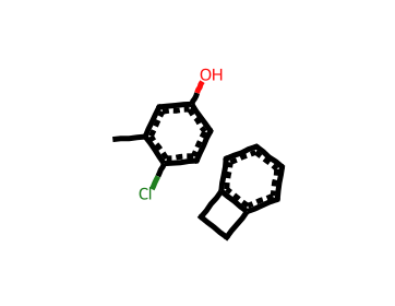 Cc1cc(O)ccc1Cl.c1ccc2c(c1)CC2